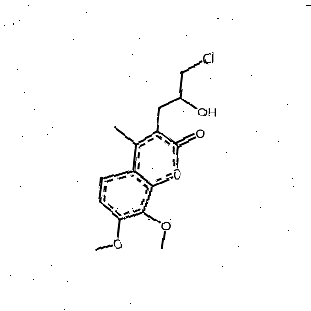 COc1ccc2c(C)c(CC(O)CCl)c(=O)oc2c1OC